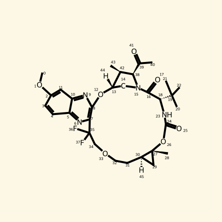 COc1ccc2nc3c(nc2c1)O[C@H]1CN(C(=O)[C@H](C(C)(C)C)NC(=O)O[C@]2(C)C[C@H]2CCOCC3(F)F)[C@H](C(C)=O)[C@@H]1C